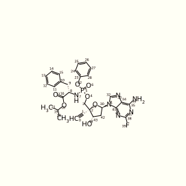 C#C[C@]1(CO[P@@](=O)(N[C@@H](Cc2ccccc2)C(=O)OC(C)C)Oc2ccccc2)O[C@@H](n2cnc3c(N)nc(F)nc32)C[C@@H]1O